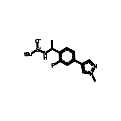 CC(N[S+]([O-])C(C)(C)C)c1ccc(-c2cnn(C)c2)cc1F